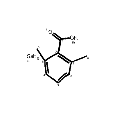 Cc1cccc(C)c1C(=O)O.[GaH3]